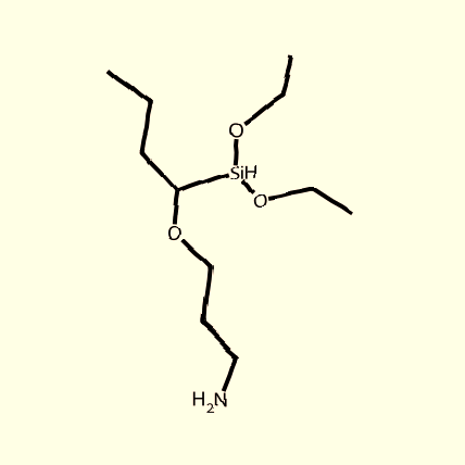 CCCC(OCCCN)[SiH](OCC)OCC